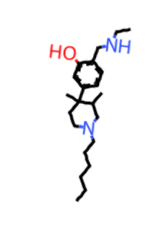 CCCCCCN1CCC(C)(c2ccc(CNCC)c(O)c2)C(C)C1